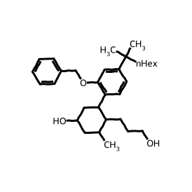 CCCCCCC(C)(C)c1ccc(C2CC(O)CC(C)C2CCCO)c(OCc2ccccc2)c1